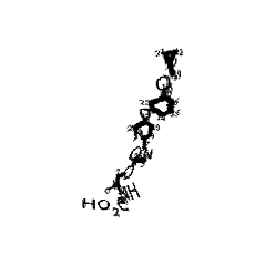 C[C@@H](COc1cnc(-c2ccc(Oc3cccc(OCC4CC4)c3)cn2)o1)NC(=O)O